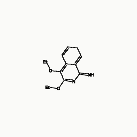 CCOC1=NC(=N)C2=CCC=CC2=C1OCC